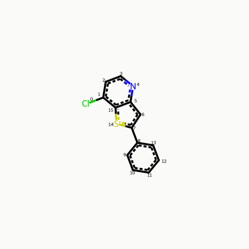 Clc1ccnc2cc(-c3ccccc3)sc12